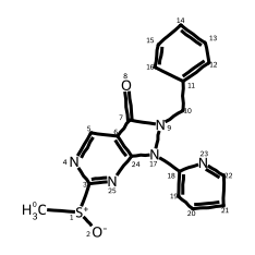 C[S+]([O-])c1ncc2c(=O)n(Cc3ccccc3)n(-c3ccccn3)c2n1